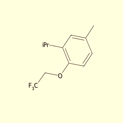 Cc1ccc(OCC(F)(F)F)c(C(C)C)c1